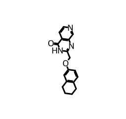 O=c1[nH]c(COc2ccc3c(c2)CCCC3)nc2cnccc12